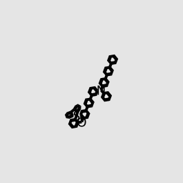 c1ccc(-c2ccc(-c3ccc(N(c4ccccc4)c4cccc(-c5ccc(-c6ccc7c(c6)[Si]6(c8ccccc8O7)c7ccccc7-c7ccccc76)cc5)c4)cc3)cc2)cc1